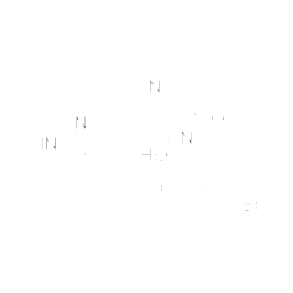 O=C(NC[C@@H](C(=O)O)c1cccc(Br)c1)[C@@H]1CCCN(CCCc2ccc3c(n2)NCCC3)C1